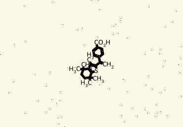 C=C(c1ccc(C(=O)O)cc1)c1sc2c(c1C)C(C)(C)CCC2(C)C